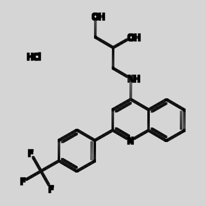 Cl.OCC(O)CNc1cc(-c2ccc(C(F)(F)F)cc2)nc2ccccc12